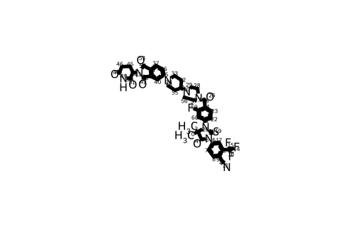 CC1(C)C(=O)N(c2ccc(C#N)c(C(F)(F)F)c2)C(=S)N1c1ccc(C(=O)N2CCN(C3CCN(c4ccc5c(c4)C(=O)N(C4CCC(=O)NC4=O)C5=O)CC3)CC2)c(F)c1